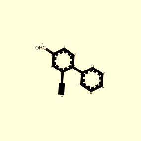 C#Cc1cc(C=O)ccc1-c1ccccc1